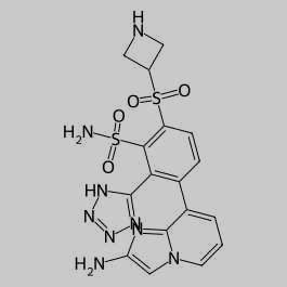 Nc1cn2cccc(-c3ccc(S(=O)(=O)C4CNC4)c(S(N)(=O)=O)c3-c3nnn[nH]3)c2n1